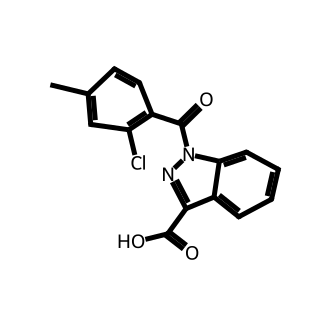 Cc1ccc(C(=O)n2nc(C(=O)O)c3ccccc32)c(Cl)c1